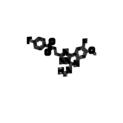 COc1cc2nc(N)n3nc(CCS(=O)(=O)c4ccc(F)cc4)nc3c2cc1F